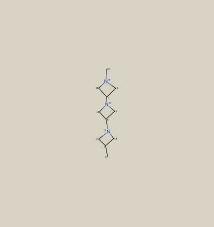 CC1CN(C2CN(C3CN(C)C3)C2)C1